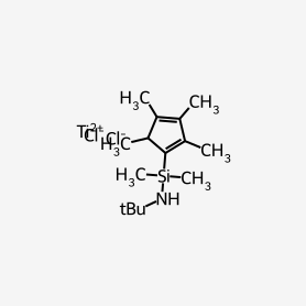 CC1=C(C)C(C)C([Si](C)(C)NC(C)(C)C)=C1C.[Cl-].[Cl-].[Ti+2]